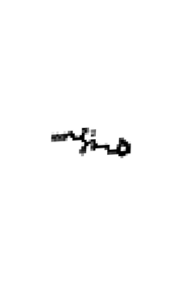 CSCCC(N)C(=O)NCCCc1cccs1